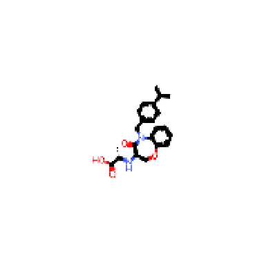 CC(C)c1ccc(CN2C(=O)C(N[C@@H](C)C(=O)O)COc3ccccc32)cc1